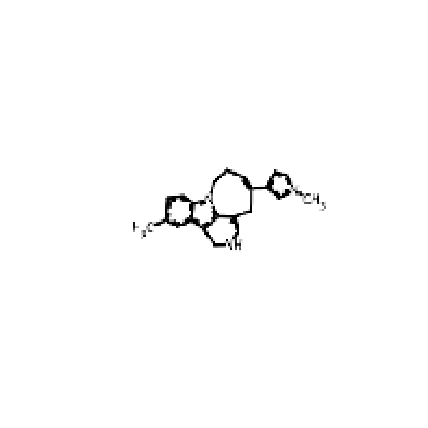 Cc1ccc2c(c1)c1c3n2CC/C=C(/c2ccn(C)c2)CC32CCCC2NC1